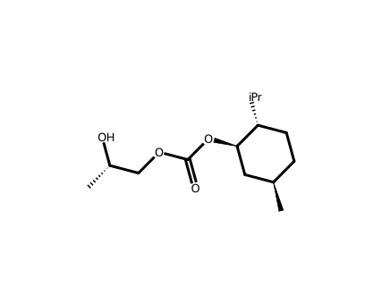 CC(C)[C@@H]1CC[C@@H](C)C[C@H]1OC(=O)OC[C@H](C)O